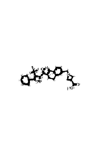 O=C(O)C1CN(Cc2ccc3c(c2)CCc2c-3noc2-c2nsc(-c3ccccc3)c2C(F)(F)F)C1